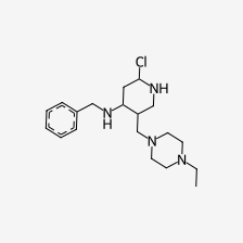 CCN1CCN(CC2CNC(Cl)CC2NCc2ccccc2)CC1